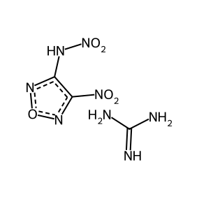 N=C(N)N.O=[N+]([O-])Nc1nonc1[N+](=O)[O-]